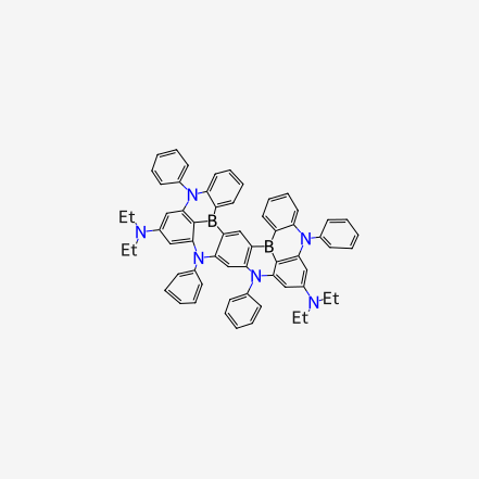 CCN(CC)c1cc2c3c(c1)N(c1ccccc1)c1cc4c(cc1B3c1ccccc1N2c1ccccc1)B1c2ccccc2N(c2ccccc2)c2cc(N(CC)CC)cc(c21)N4c1ccccc1